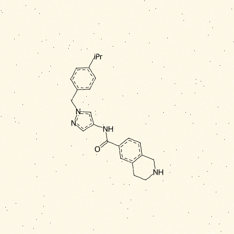 CC(C)c1ccc(Cn2cc(NC(=O)c3ccc4c(c3)CCNC4)cn2)cc1